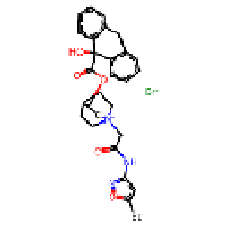 CCc1cc(NC(=O)C[N+]23CCC(CC2)C(OC(=O)C2(O)c4ccccc4Cc4ccccc42)C3)no1.[Br-]